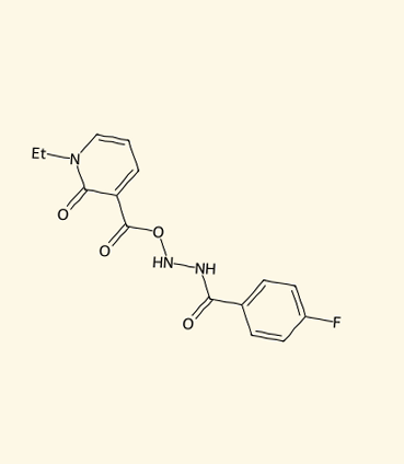 CCn1cccc(C(=O)ONNC(=O)c2ccc(F)cc2)c1=O